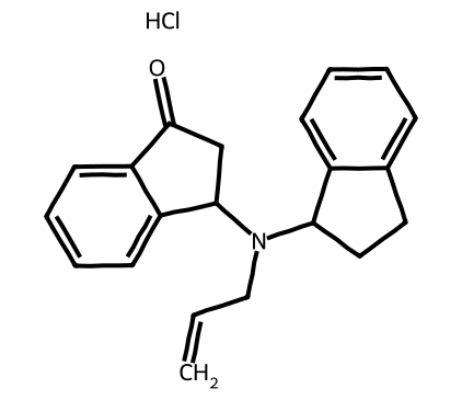 C=CCN(C1CCc2ccccc21)C1CC(=O)c2ccccc21.Cl